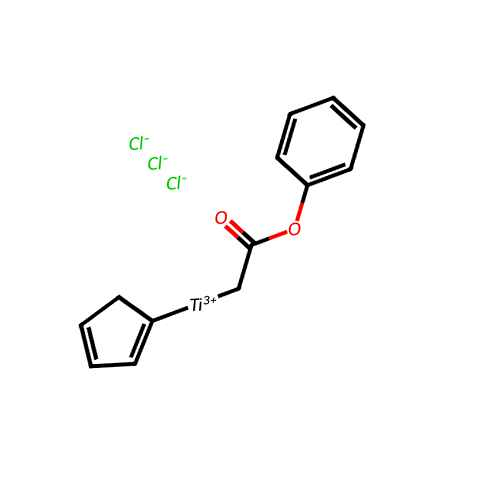 O=C([CH2][Ti+3][C]1=CC=CC1)Oc1ccccc1.[Cl-].[Cl-].[Cl-]